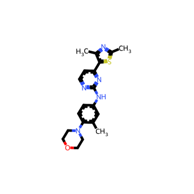 Cc1nc(C)c(-c2ccnc(Nc3ccc(N4CCOCC4)c(C)c3)n2)s1